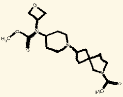 COC(=O)N(C1CCN(C2CC3(CCN(C(=O)O)C3)C2)CC1)C1COC1